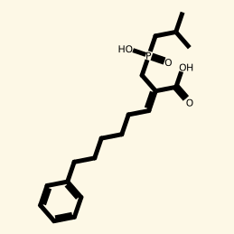 CC(C)CP(=O)(O)CC(=CCCCCCc1ccccc1)C(=O)O